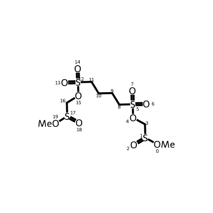 COS(=O)COS(=O)(=O)CCCCS(=O)(=O)OCS(=O)OC